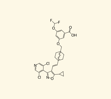 O=C(O)c1cc(OCC23CCC(C=Cc4c(-c5c(Cl)cncc5Cl)noc4C4CC4)(CC2)CC3)cc(OC(F)F)c1